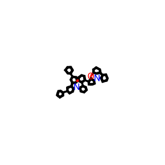 c1ccc(-c2ccc3c(c2)c2cc(-c4ccccc4)ccc2n3-c2ccccc2-c2ccccc2-c2cccc3c2Oc2cccc4c5ccccc5n-3c24)cc1